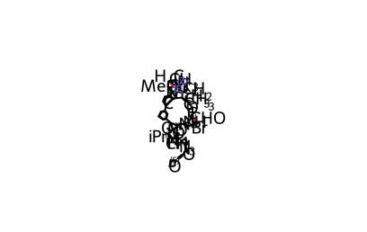 C=C/C(=C(\N=C/C)[C@H](C)OC)c1c2c3cc(ccc3n1CC)-c1cccc(c1)C[C@H](NC(=O)[C@H](C(C)C)N(C)C(=O)[C@H]1CCN(C(=O)C#C[C@@H]3CCO3)C1)C(=O)N1CC(Br)C[C@](C=O)(COCC(C)(C)C2)N1